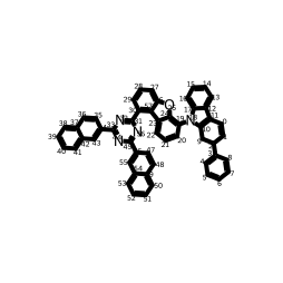 C1=CC(c2ccccc2)Cc2c1c1ccccc1n2-c1cccc2c1oc1cccc(-c3nc(-c4ccc5ccccc5c4)nc(-c4ccc5ccccc5c4)n3)c12